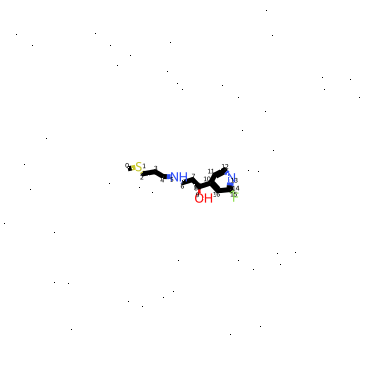 CSCCCNCC[C@H](O)c1ccnc(F)c1